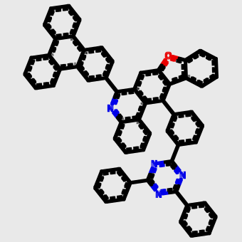 c1ccc(-c2nc(-c3ccccc3)nc(-c3cccc(-c4c5c(cc6c(-c7ccc8c9ccccc9c9ccccc9c8c7)nc7ccccc7c46)oc4ccccc45)c3)n2)cc1